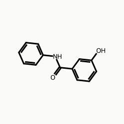 O=C(Nc1ccccc1)c1cccc(O)c1